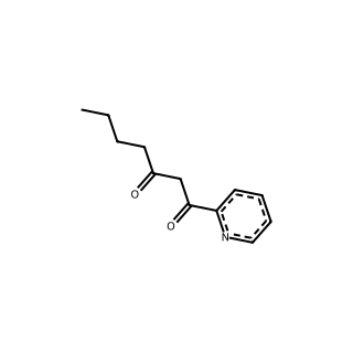 CCCCC(=O)CC(=O)c1ccccn1